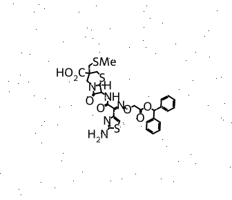 CSCC1(C(=O)O)CS[C@@H]2C(NC(=O)C(=NOCC(=O)OC(c3ccccc3)c3ccccc3)c3csc(N)n3)C(=O)N2C1